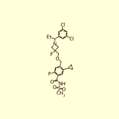 CCC(c1cc(Cl)cc(Cl)c1)N1CC(F)(COCc2cc(F)c(C(=O)NS(C)(=O)=O)cc2C2CC2)C1